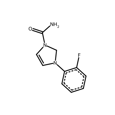 NC(=O)N1C=CN(c2ccccc2F)C1